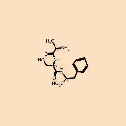 C[C@@H](N)C(=O)N[C@H](CO)C(=O)N[C@@H](Cc1ccccc1)C(=O)O